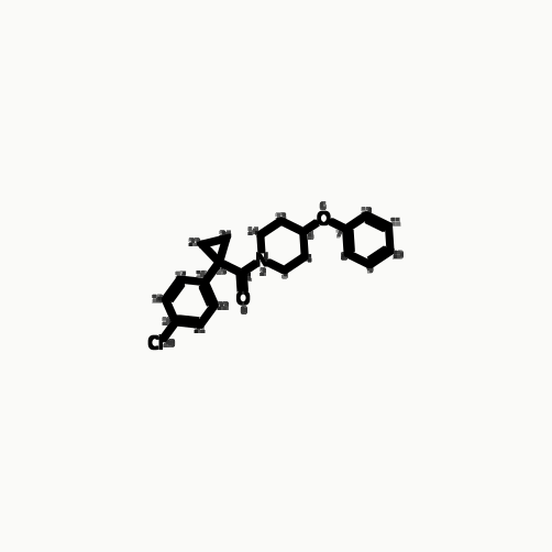 O=C(N1CCC(Oc2ccccc2)CC1)C1(c2ccc(Cl)cc2)CC1